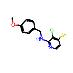 COc1ccc(CNc2nccc(S)c2Cl)cc1